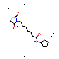 O=C(CCCCCCN1C(=O)CSC1=O)NC1CCCC1